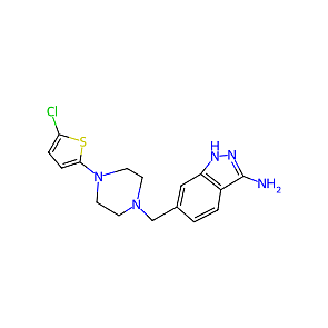 Nc1n[nH]c2cc(CN3CCN(c4ccc(Cl)s4)CC3)ccc12